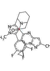 Cc1cc2nc(C(=O)N3C4CCCC3c3nn(C)c(-c5cc(F)c(F)c(F)c5)c3C4)cc(C3CC3)n2n1